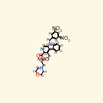 COCc1c(C(=O)OCCN2CCOCC2)ncc2c1c1ccccc1n2Cc1cc([N+](=O)[O-])cc([N+](=O)[O-])c1